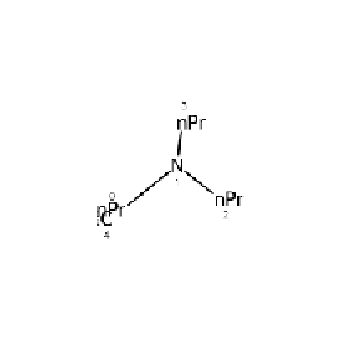 CCCN(CCC)CCC.[C]